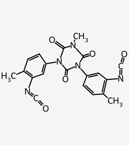 Cc1ccc(-n2c(=O)n(C)c(=O)n(-c3ccc(C)c(N=C=O)c3)c2=O)cc1N=C=O